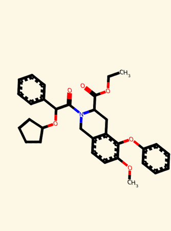 CCOC(=O)C1Cc2c(ccc(OC)c2Oc2ccccc2)CN1C(=O)C(OC1CCCC1)c1ccccc1